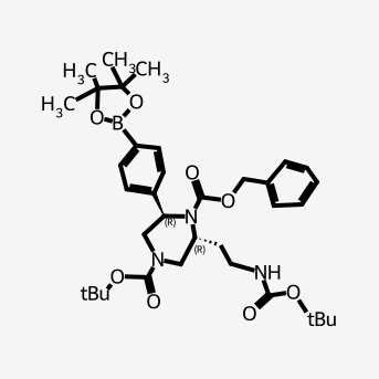 CC(C)(C)OC(=O)NCC[C@@H]1CN(C(=O)OC(C)(C)C)C[C@@H](c2ccc(B3OC(C)(C)C(C)(C)O3)cc2)N1C(=O)OCc1ccccc1